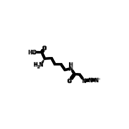 [N-]=[N+]=NCC(=O)NCCCC[C@H](N)C(=O)O